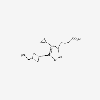 CC(C)C[C@H]1C[C@@H](C2=C(C3CC3)C(CCC(=O)O)NO2)C1